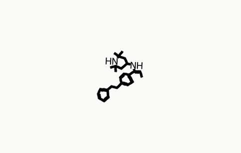 CC=C(NC1CC(C)(C)NC(C)(C)C1)c1ccc(CCc2ccccc2)cc1